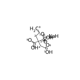 C=CCC(CC(=O)O)(C(=O)O)S(=O)(=O)O.[NaH]